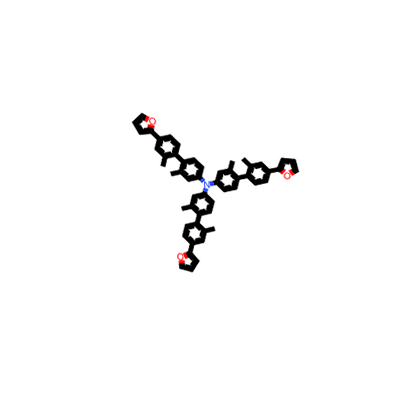 Cc1cc(-c2ccco2)ccc1-c1ccc(N(c2ccc(-c3ccc(-c4ccco4)cc3C)c(C)c2)c2ccc(-c3ccc(-c4ccco4)cc3C)c(C)c2)cc1C